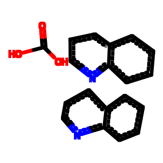 O=C(O)O.c1ccc2ncccc2c1.c1ccc2ncccc2c1